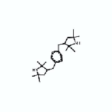 CC1(C)CC(Cc2ccc(CC3CC(C)(C)NC3(C)C)cc2)C(C)(C)N1